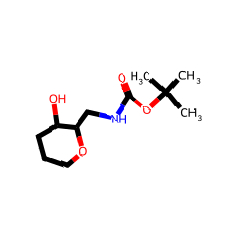 CC(C)(C)OC(=O)NCC1OCCCC1O